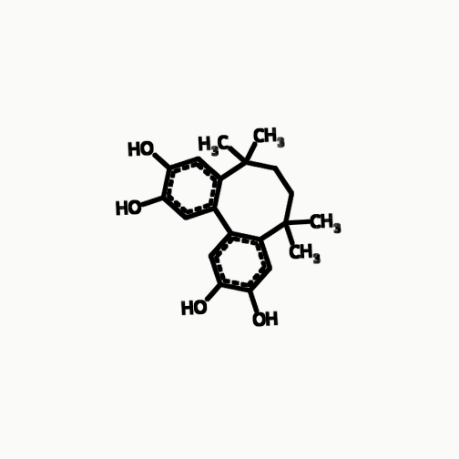 CC1(C)CCC(C)(C)c2cc(O)c(O)cc2-c2cc(O)c(O)cc21